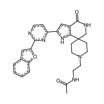 CC(=O)NCCN1CCC2(CC1)CNC(=O)c1cc(-c3ccnc(-c4cc5ccccc5o4)n3)[nH]c12